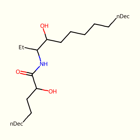 CCCCCCCCCCCCCCCC(O)C(CC)NC(=O)C(O)CCCCCCCCCCCC